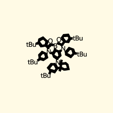 CC(C)(C)c1ccc(N2c3cc(N4c5ccc(C(C)(C)C)cc5C5(C)CCCCC45C)cc4c3B(c3oc5ccc(C(C)(C)C)cc5c32)C2Oc3ccc(C(C)(C)C)cc3C2N4c2ccc(C(C)(C)C)cc2)cc1